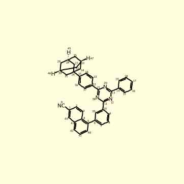 N#Cc1ccc2c(-c3cccc(-c4nc(-c5ccccc5)nc(-c5ccc(C67C[C@H]8C[C@@H](C6)C[C@@H](C7)C8)cc5)n4)c3)cccc2c1